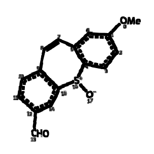 COc1ccc2c(c1)C=Cc1ccc(C=O)cc1[S+]2[O-]